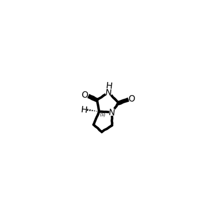 O=C1NC(=O)N2CCC[C@@H]12